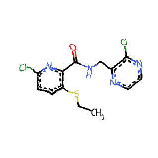 CCSc1ccc(Cl)nc1C(=O)NCc1nccnc1Cl